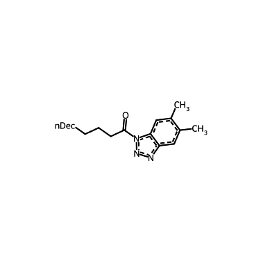 CCCCCCCCCCCCCC(=O)n1nnc2cc(C)c(C)cc21